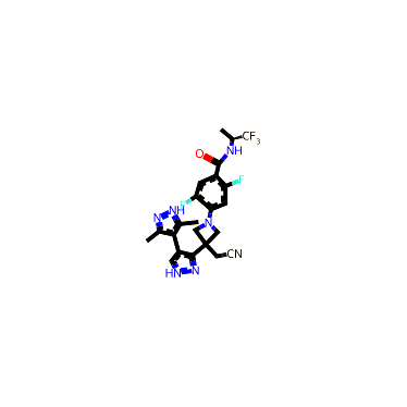 Cc1n[nH]c(C)c1-c1c[nH]nc1C1(CC#N)CN(c2cc(F)c(C(=O)N[C@@H](C)C(F)(F)F)cc2F)C1